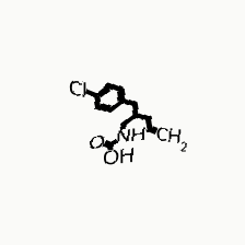 C=CCC(CNC(=O)O)Cc1ccc(Cl)cc1